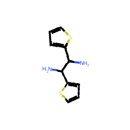 NC(c1cccs1)C(N)c1cccs1